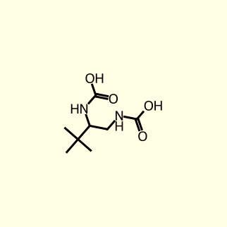 CC(C)(C)C(CNC(=O)O)NC(=O)O